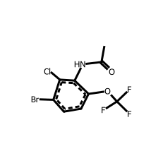 CC(=O)Nc1c(OC(F)(F)F)ccc(Br)c1Cl